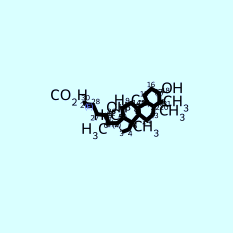 C[C@@H]([C@H]1CC[C@@]2(C)C3=C(CC[C@]12C)[C@@]1(C)CC[C@H](O)C(C)(C)C1CC3)[C@@H](O)C/C=C/C(=O)O